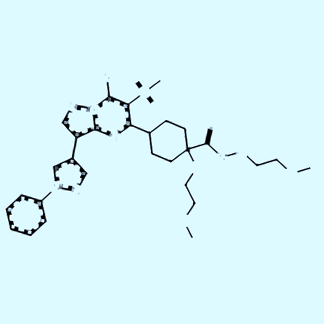 COCCONC(=O)C1(OCCOC)CCC(c2nc3c(-c4cnn(-c5ccccc5)c4)cnn3c(N)c2S(C)(=O)=O)CC1